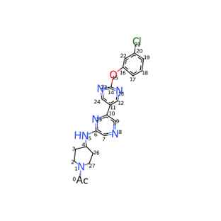 CC(=O)N1CCC(Nc2cncc(-c3cnc(Oc4cccc(Cl)c4)nc3)n2)CC1